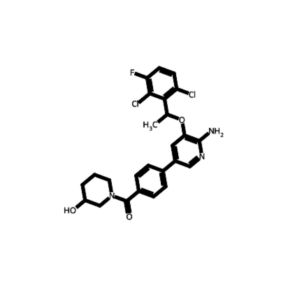 CC(Oc1cc(-c2ccc(C(=O)N3CCCC(O)C3)cc2)cnc1N)c1c(Cl)ccc(F)c1Cl